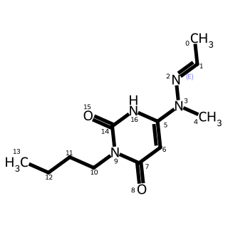 C/C=N/N(C)c1cc(=O)n(CCCC)c(=O)[nH]1